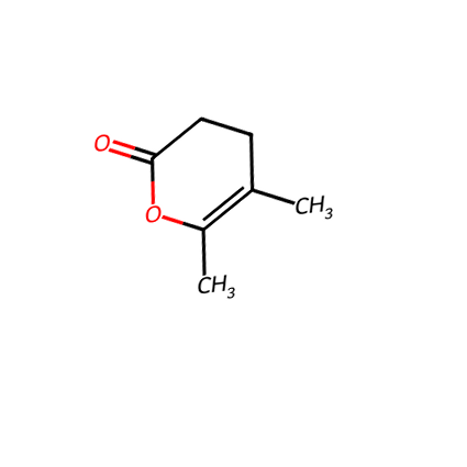 CC1=C(C)OC(=O)CC1